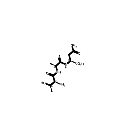 C[C@H](NC(=O)[C@@H](N)[C@@H](C)O)C(=O)N[C@@H](CC(N)=O)C(=O)O